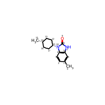 Cc1ccc2c(c1)[nH]c(=O)n2[C@H]1CC[C@@H](C)CC1